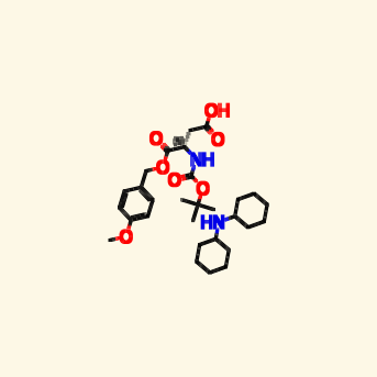 C1CCC(NC2CCCCC2)CC1.COc1ccc(COC(=O)[C@H](CC(=O)O)NC(=O)OC(C)(C)C)cc1